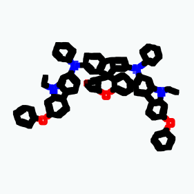 CCn1c2cc(Oc3ccccc3)ccc2c2ccc(N(c3ccccc3)c3ccc4c(c3)C3(c5ccccc5Oc5ccccc53)c3cc(N(c5ccccc5)c5ccc6c7ccc(Oc8ccccc8)cc7n(CC)c6c5)ccc3-4)cc21